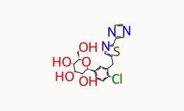 OC[C@H]1O[C@@H](c2ccc(Cl)c(Cc3cnc(-c4cnccn4)s3)c2)[C@H](O)[C@@H](O)[C@@H]1O